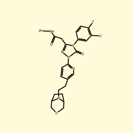 CC(C)NC(=O)Cc1nn(-c2ccc(CCN3C4CCC3COC4)cn2)c(=O)n1-c1ccc(F)c(Cl)c1